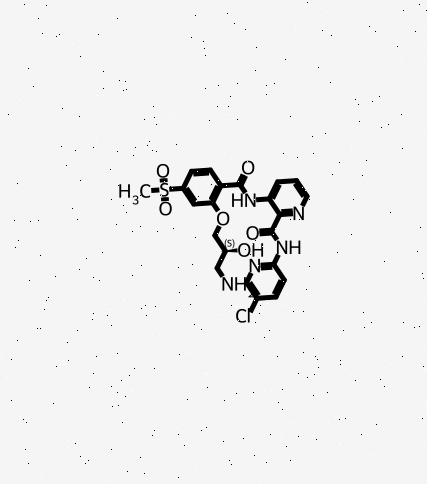 CS(=O)(=O)c1ccc(C(=O)Nc2cccnc2C(=O)Nc2ccc(Cl)cn2)c(OC[C@@H](O)CN)c1